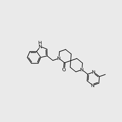 Cc1cncc(N2CCC3(CCCN(Cc4c[nH]c5ccccc45)C3=O)CC2)n1